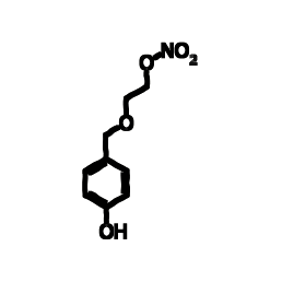 O=[N+]([O-])OCCOCc1ccc(O)cc1